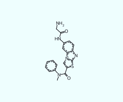 CN(C(=O)c1cn2c(nc3ccc(NC(=O)CN)cc32)s1)c1ccccc1